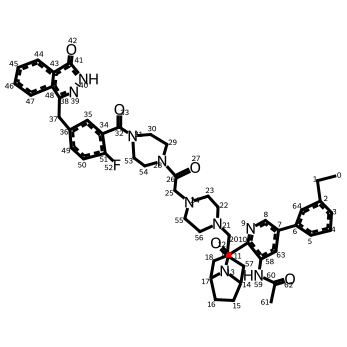 CCc1cccc(-c2cnc(C(=O)N3C4CCC3CC(CN3CCN(CC(=O)N5CCN(C(=O)c6cc(Cc7n[nH]c(=O)c8ccccc78)ccc6F)CC5)CC3)C4)c(NC(C)=O)c2)c1